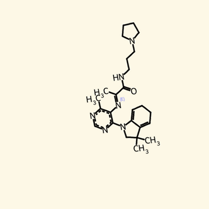 C/C(=N\c1c(C)ncnc1N1CC(C)(C)C2=CCCC=C21)C(=O)NCCCN1CCCC1